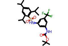 CC(C)c1cc(C(C)C)c(S(=O)(=O)Nc2cc(NC(=O)OC(C)(C)C)cc(C(F)(F)F)c2)c(C(C)C)c1